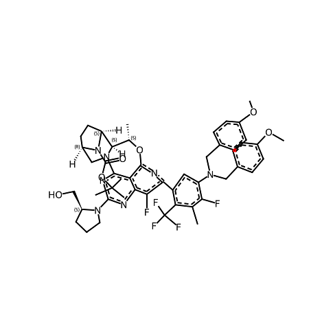 COc1ccc(CN(Cc2ccc(OC)cc2)c2cc(-c3nc4c5c(nc(N6CCC[C@H]6CO)nc5c3F)N3C[C@H]5CC[C@@H]([C@H]3[C@H](C)O4)N5C(=O)OC(C)(C)C)c(C(F)(F)F)c(C)c2F)cc1